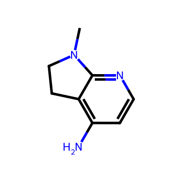 CN1CCc2c(N)ccnc21